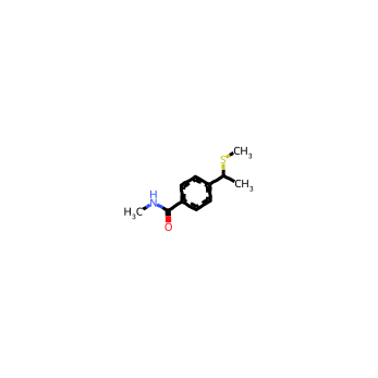 CNC(=O)c1ccc(C(C)SC)cc1